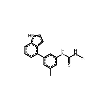 CCNC(=S)Nc1cc(C)cc(-c2cccc3[nH]ccc23)c1